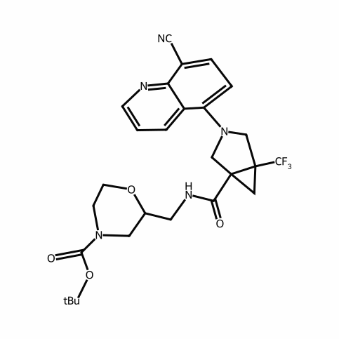 CC(C)(C)OC(=O)N1CCOC(CNC(=O)C23CN(c4ccc(C#N)c5ncccc45)CC2(C(F)(F)F)C3)C1